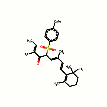 CC=C(C)C(=O)C(C=C(C)C=CC1=C(C)CCCC1(C)C)S(=O)(=O)c1ccc(OC)cc1